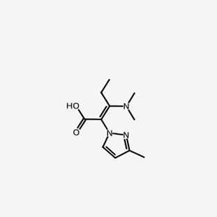 CCC(=C(C(=O)O)n1ccc(C)n1)N(C)C